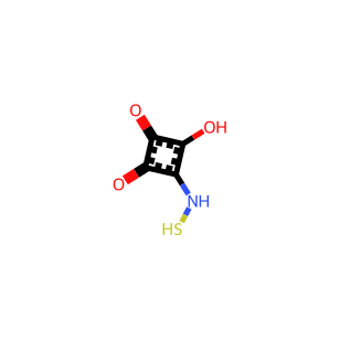 O=c1c(O)c(NS)c1=O